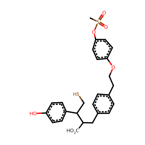 CS(=O)(=O)Oc1ccc(OCCc2ccc(CC(C(=O)O)C(CS)c3ccc(O)cc3)cc2)cc1